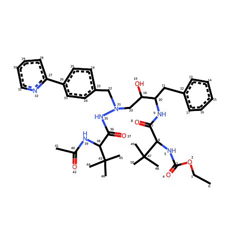 CCOC(=O)NC(C(=O)NC(Cc1ccccc1)C(O)CN(Cc1ccc(-c2ccccn2)cc1)NC(=O)C(NC(C)=O)C(C)(C)C)C(C)(C)C